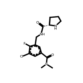 CN(C)C(=O)c1cc(Cl)c(F)c(CNC(=O)[C@@H]2CCCN2)c1